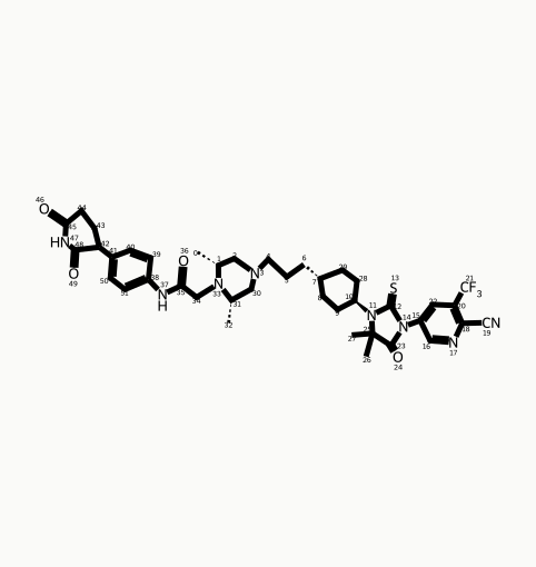 C[C@@H]1CN(CCC[C@H]2CC[C@H](N3C(=S)N(c4cnc(C#N)c(C(F)(F)F)c4)C(=O)C3(C)C)CC2)C[C@H](C)N1CC(=O)Nc1ccc(C2CCC(=O)NC2=O)cc1